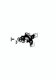 COc1ccc(CC(F)(F)C(=O)CS(=O)(=O)N(c2ccc(Cl)cc2)c2ccc(Cl)cc2)cc1OC